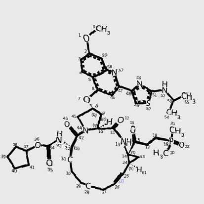 COc1ccc2c(O[C@@H]3C[C@H]4C(=O)N[C@]5(C(=O)CCP(C)(C)=O)C[C@H]5/C=C\CCCCC[C@H](NC(=O)OC5CCCC5)C(=O)N4C3)cc(-c3csc(NC(C)C)n3)nc2c1